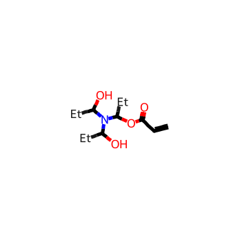 C=CC(=O)OC(CC)N(C(O)CC)C(O)CC